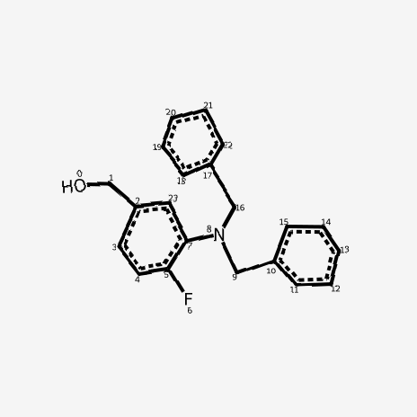 OCc1ccc(F)c(N(Cc2ccccc2)Cc2ccccc2)c1